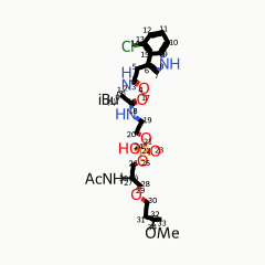 CC[C@H](C)[C@H](NC(=O)Cc1c[nH]c2cccc(Cl)c12)C(=O)NCCOP(=O)(O)OC[C@@H](COCC[C@@H](C)OC)NC(C)=O